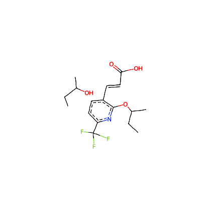 CCC(C)O.CCC(C)Oc1nc(C(F)(F)F)ccc1C=CC(=O)O